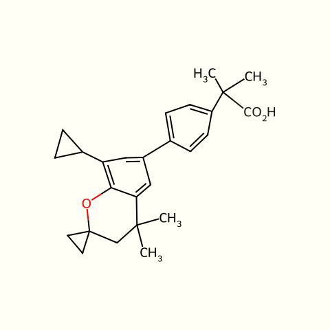 CC1(C)CC2(CC2)Oc2c(C3CC3)cc(-c3ccc(C(C)(C)C(=O)O)cc3)cc21